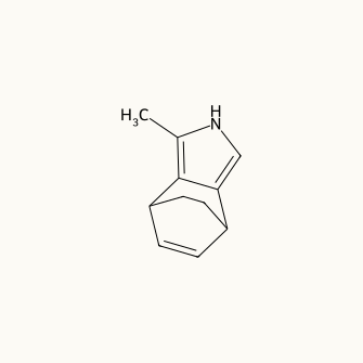 Cc1[nH]cc2c1C1C=CC2CC1